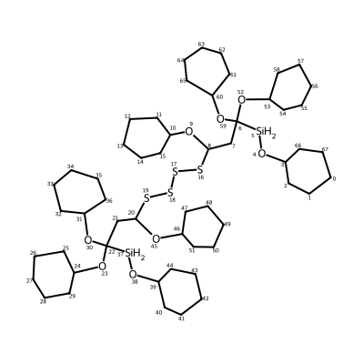 C1CCC(O[SiH2]C(CC(OC2CCCCC2)SSSSC(CC(OC2CCCCC2)(OC2CCCCC2)[SiH2]OC2CCCCC2)OC2CCCCC2)(OC2CCCCC2)OC2CCCCC2)CC1